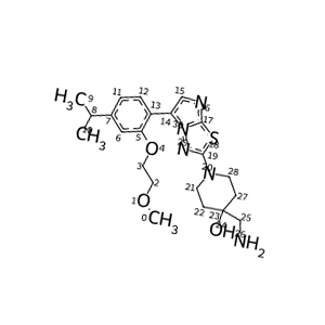 COCCOc1cc(C(C)C)ccc1-c1cnc2sc(N3CCC(O)(CN)CC3)nn12